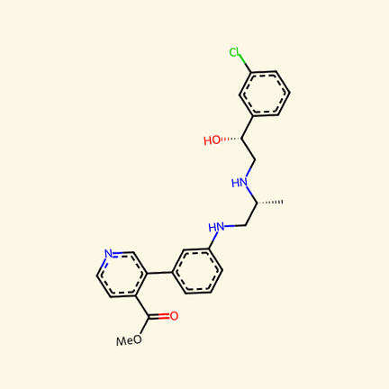 COC(=O)c1ccncc1-c1cccc(NC[C@@H](C)NC[C@H](O)c2cccc(Cl)c2)c1